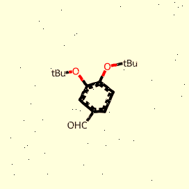 CC(C)(C)Oc1ccc(C=O)cc1OC(C)(C)C